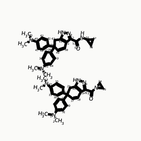 CN(C)c1ccc(C2(c3ccc(N(C)C)cc3)C=Cc3c(C(=O)N4CC4)n[nH]c3C2)cc1.CN(C)c1ccc(C2(c3ccc(N(C)C)cc3)C=Cc3c(C(=O)NC4CC4)n[nH]c3C2)cc1